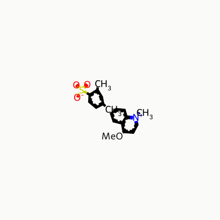 COc1cc[n+](C)c2ccccc12.Cc1ccc(S(=O)(=O)[O-])c(C)c1